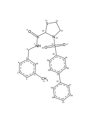 Cc1cccc(CNC(=O)C2SCCN2S(=O)(=O)c2ccc(-c3ccccc3)cc2)c1